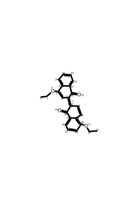 CCOC1=C/C(=C2/C=Cc3c(OCC)cccc3C2=O)C(=O)c2ccccc21